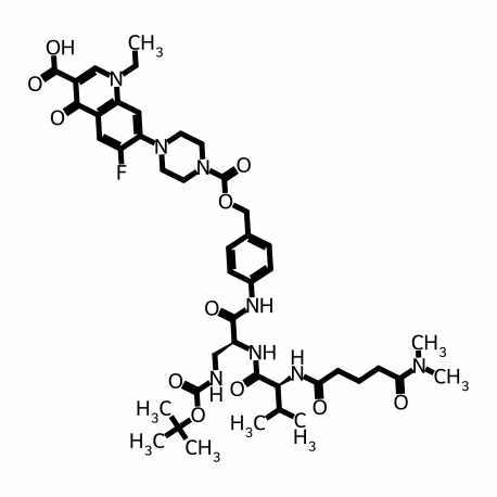 CCn1cc(C(=O)O)c(=O)c2cc(F)c(N3CCN(C(=O)OCc4ccc(NC(=O)[C@H](CNC(=O)OC(C)(C)C)NC(=O)[C@@H](NC(=O)CCCC(=O)N(C)C)C(C)C)cc4)CC3)cc21